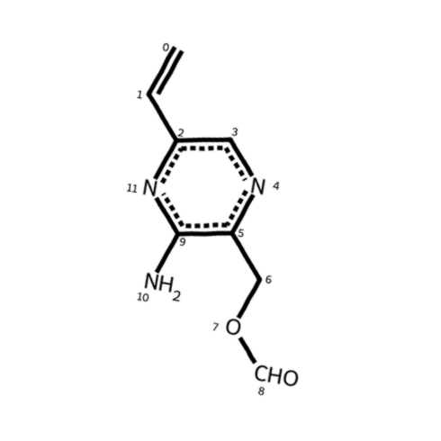 C=Cc1cnc(COC=O)c(N)n1